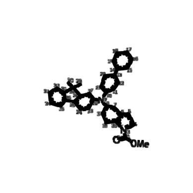 COC(=O)n1ccc2cc(N(c3ccc(-c4ccccc4)cc3)c3ccc4c(c3)C(C)(C)c3ccccc3-4)ccc21